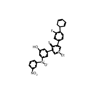 CCn1cc(-c2cc(O)cc([S+]([O-])c3cccc([N+](=O)[O-])c3)c2)c(=S)c(-c2ccc(C3C=CC=CC3)c(F)c2)c1